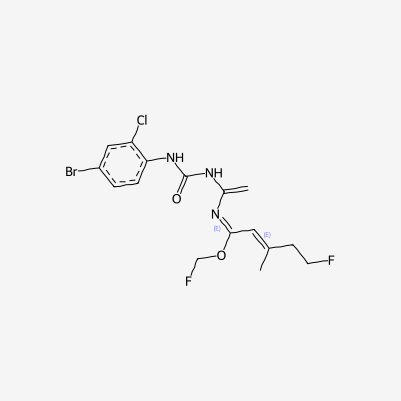 C=C(/N=C(\C=C(/C)CCF)OCF)NC(=O)Nc1ccc(Br)cc1Cl